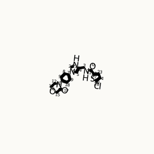 O=C(NCC1=CN(c2ccc(N3CCOCC3=O)cc2)CN1)c1ccc(Cl)s1